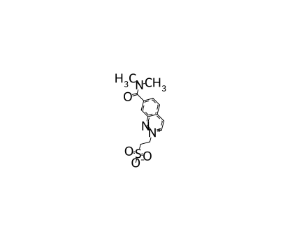 CN(C)C(=O)c1ccc2cc[n+](CCS(=O)(=O)[O-])nc2c1